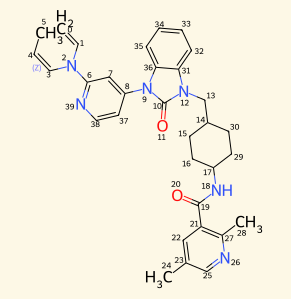 C=CN(/C=C\C)c1cc(-n2c(=O)n(CC3CCC(NC(=O)c4cc(C)cnc4C)CC3)c3ccccc32)ccn1